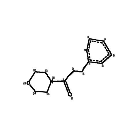 O=C(CCc1ccccc1)N1CCOCC1